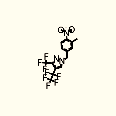 Cc1cc(Cn2cc(C(F)(F)C(F)(F)F)c(C(F)(F)F)n2)ccc1[N+](=O)[O-]